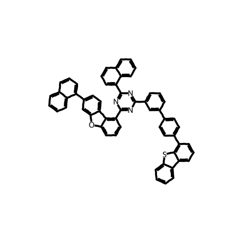 c1cc(-c2ccc(-c3cccc4c3sc3ccccc34)cc2)cc(-c2nc(-c3cccc4ccccc34)nc(-c3cccc4oc5cc(-c6cccc7ccccc67)ccc5c34)n2)c1